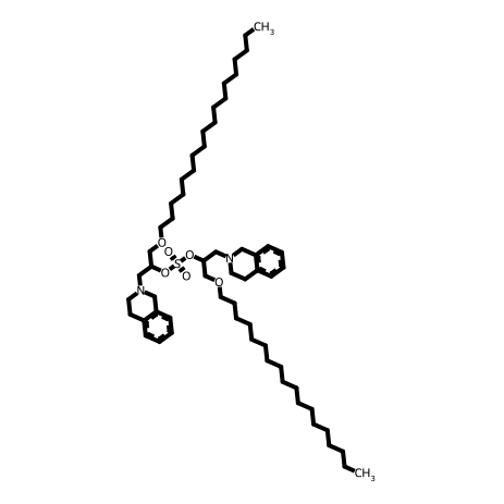 CCCCCCCCCCCCCCCCCCOCC(CN1CCc2ccccc2C1)OS(=O)(=O)OC(COCCCCCCCCCCCCCCCCCC)CN1CCc2ccccc2C1